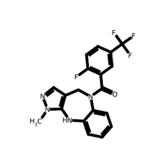 Cn1ncc2c1Nc1ccccc1N(C(=O)c1cc(C(F)(F)F)ccc1F)C2